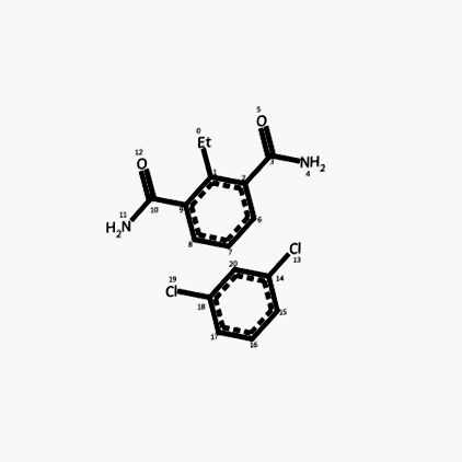 CCc1c(C(N)=O)cccc1C(N)=O.Clc1cccc(Cl)c1